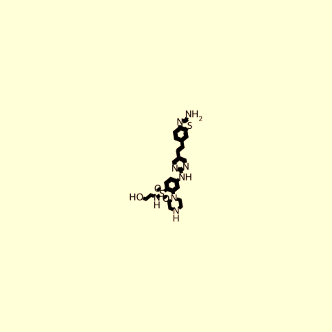 Nc1nc2ccc(C=Cc3cnc(Nc4ccc(S(=O)(=O)NCCO)c(N5CCNCC5)c4)nc3)cc2s1